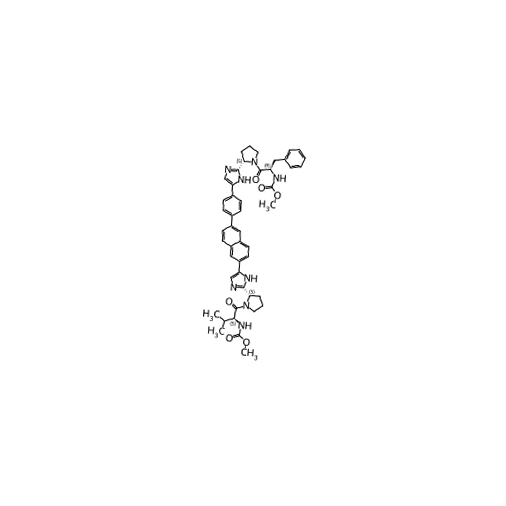 COC(=O)N[C@H](C(=O)N1CCC[C@H]1c1ncc(-c2ccc3cc(-c4ccc(-c5cnc([C@@H]6CCCN6C(=O)[C@@H](Cc6ccccc6)NC(=O)OC)[nH]5)cc4)ccc3c2)[nH]1)C(C)C